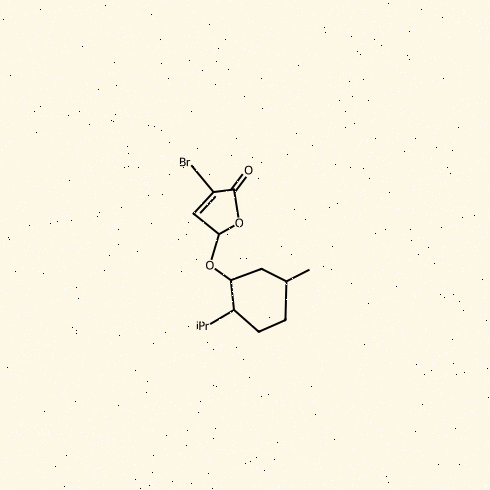 CC1CCC(C(C)C)C(OC2C=C(Br)C(=O)O2)C1